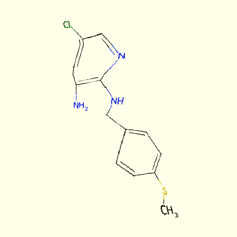 CSc1ccc(CNc2ncc(Cl)cc2N)cc1